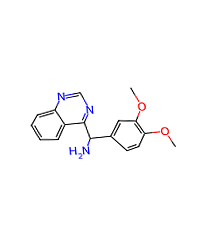 COc1ccc(C(N)c2ncnc3ccccc23)cc1OC